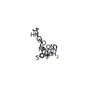 BC(F)Oc1ccc(SC)cc1-c1nn(CC(=O)N2CCC(NCC3(C=C)CC3)CC2)cc1NC(=O)/C(C=C)=C1\N=CC=CN1C